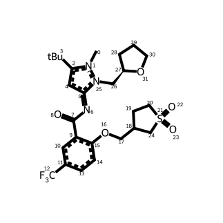 Cn1c(C(C)(C)C)cc(=NC(=O)c2cc(C(F)(F)F)ccc2OCC2CCS(=O)(=O)C2)n1C[C@H]1CCCO1